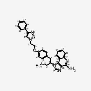 CCOCC(Cc1ccc(OCCn2cc(-c3ccccc3)nn2)cc1)n1cnc2c(N)nc3ccccc3c21